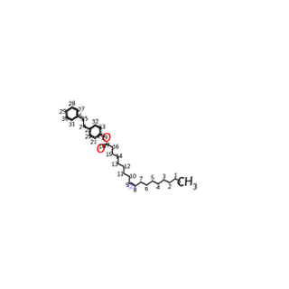 CCCCCCCC/C=C\CCCCCCCC(=O)Oc1ccc(CCc2ccccc2)cc1